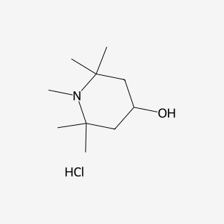 CN1C(C)(C)CC(O)CC1(C)C.Cl